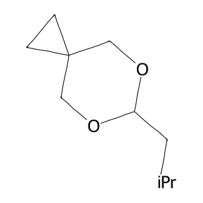 CC(C)CC1OCC2(CC2)CO1